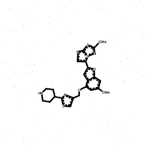 COc1cc(OCc2csc(C3CCNCC3)n2)c2cc(-c3cnc4sc(OC)nn34)oc2c1